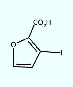 O=C(O)c1occc1I